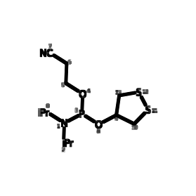 CC(C)N(C(C)C)P(OCCC#N)OC1CSSC1